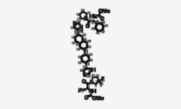 COC(=O)N[C@H](C(=O)N1CC(F)(F)C[C@H]1c1ncc(-c2ccc(-c3ccc4cc(-c5cnc([C@@H]6CCCN6C(=O)[C@H](NC(=O)OC)c6ccccc6)[nH]5)ccc4c3)cc2)[nH]1)C(C)C